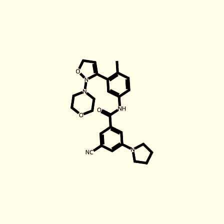 Cc1ccc(NC(=O)c2cc(C#N)cc(N3CCCC3)c2)cc1C1=CCON1N1CCOCC1